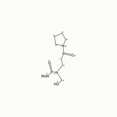 CNC(=O)N(CO)CCC(=O)N1CCCC1